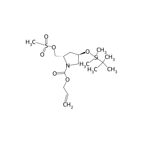 C=CCOC(=O)N1C[C@H](O[Si](C)(C)C(C)(C)C)C[C@H]1COS(C)(=O)=O